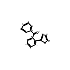 O=C(c1ccccc1)c1ccccc1C1=CC=CC1